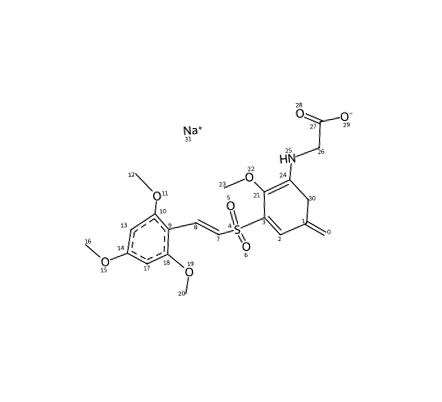 C=C1C=C(S(=O)(=O)C=Cc2c(OC)cc(OC)cc2OC)C(OC)=C(NCC(=O)[O-])C1.[Na+]